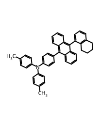 Cc1ccc(N(c2ccc(C)cc2)c2ccc(-c3c4ccccc4c(-c4cccc5c4CCCC5)c4ccccc34)cc2)cc1